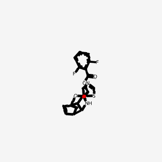 O=C(OCC1NC2C3C=CC(C3)(O1)C2C1CN=CS1)c1c(F)cccc1F